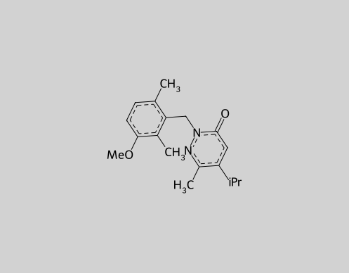 COc1ccc(C)c(Cn2nc(C)c(C(C)C)cc2=O)c1C